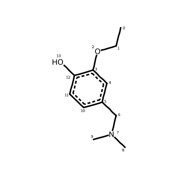 CCOc1cc(CN(C)C)ccc1O